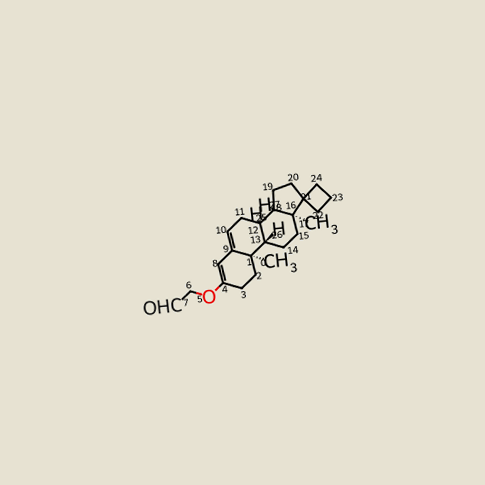 C[C@]12CCC(OCC=O)=CC1=CC[C@@H]1[C@@H]2CC[C@@]2(C)[C@H]1CCC21CCC1